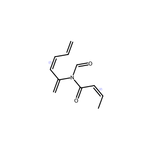 C=C/C=C\C(=C)N(C=O)C(=O)/C=C\C